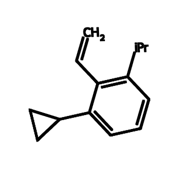 [CH2]C(C)c1cccc(C2CC2)c1C=C